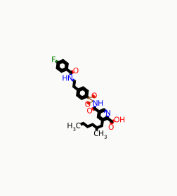 CCCCC(C)Cc1cc(C(=O)NS(=O)(=O)c2ccc(CCNC(=O)c3ccc(F)cc3)cc2)cnc1C(=O)O